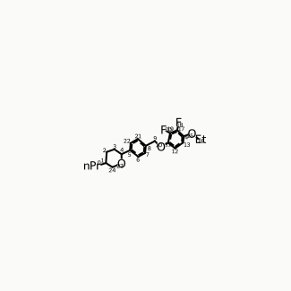 CCCC1CCC(c2ccc(COc3ccc(OCC)c(F)c3F)cc2)OC1